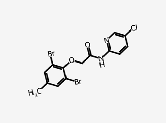 Cc1cc(Br)c(OCC(=O)Nc2ccc(Cl)cn2)c(Br)c1